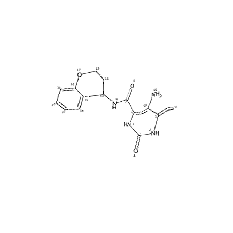 C=C1NC(=O)NC(C(=O)NC2CCOc3ccccc32)=C1N